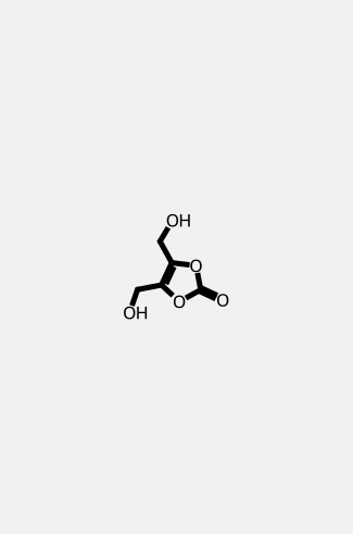 O=c1oc(CO)c(CO)o1